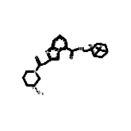 CC1(C)C2CC[C@H](CNC(=O)c3cccc4nc(CC(=O)N5CCC[C@@H](N)C5)cn34)C1C2